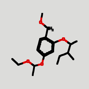 CCOC(C)Oc1ccc([SiH2]OC)c(OC(C)C(C)CC)c1